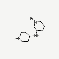 CC(C)N1CCCC(NC2CCN(C)CC2)C1